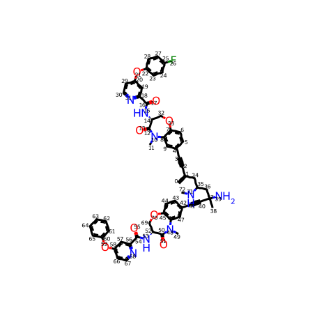 C=C(C#Cc1ccc2c(c1)N(C)C(=O)[C@H](NC(=O)c1cc(Oc3ccc(F)cc3)ccn1)CO2)CC(CC(C)(N)C#Cc1ccc2c(c1)N(C)C(=O)[C@H](NC(=O)c1cc(Oc3ccccc3)ccn1)CO2)NC